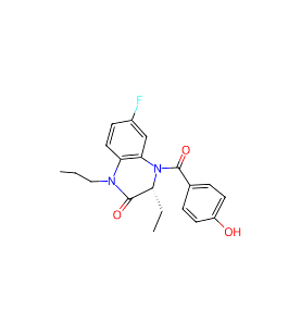 CCCN1C(=O)[C@@H](CC)N(C(=O)c2ccc(O)cc2)c2cc(F)ccc21